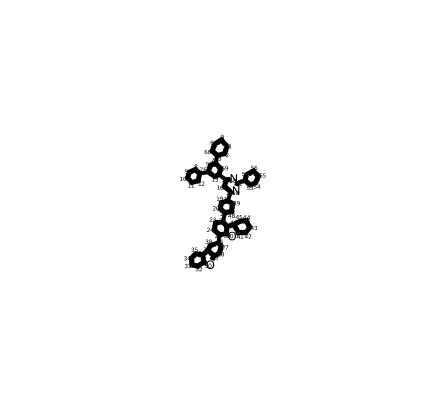 c1ccc(-c2cc(-c3ccccc3)cc(-c3cc(-c4ccc(-c5ccc(-c6ccc7oc8ccccc8c7c6)c6oc7ccccc7c56)cc4)nc(-c4ccccc4)n3)c2)cc1